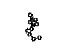 CC1(C)c2ccc(-c3cccc(-c4ccccc4)c3)cc2-c2ccc(N(c3ccccc3)c3cccc4c3c3ccccc3n4-c3ccccc3)cc2C1(C)C